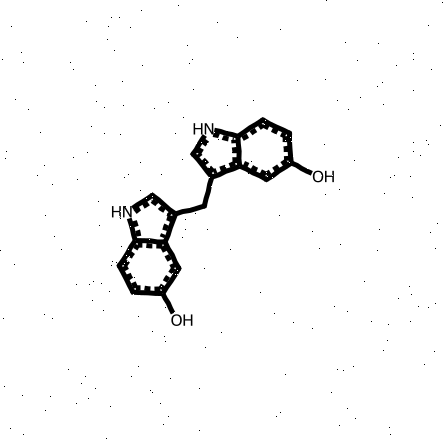 Oc1ccc2[nH]cc(Cc3c[nH]c4ccc(O)cc34)c2c1